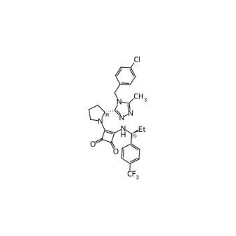 CC[C@H](Nc1c(N2CCC[C@@H]2c2nnc(C)n2Cc2ccc(Cl)cc2)c(=O)c1=O)c1ccc(C(F)(F)F)cc1